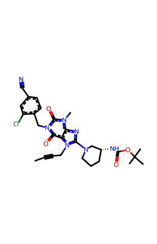 CC#CCn1c(N2CCC[C@@H](NC(=O)OC(C)(C)C)C2)nc2c1c(=O)n(Cc1ccc(C#N)cc1Cl)c(=O)n2C